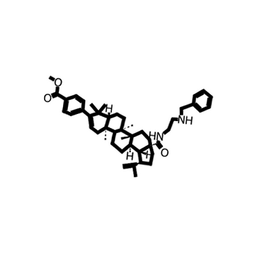 C=C(C)[C@@H]1CC[C@]2(C(=O)NCCNCc3ccccc3)CC[C@]3(C)[C@H](CCC4[C@@]5(C)CC=C(c6ccc(C(=O)OC)cc6)C(C)(C)[C@@H]5CC[C@]43C)[C@@H]12